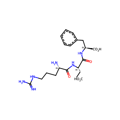 N=C(N)NCCC[C@H](N)C(=O)N[C@@H](CC(=O)O)C(=O)N[C@@H](Cc1ccccc1)C(=O)O